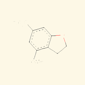 CCOC(=O)c1cc(OC)c2c(c1)OCC2